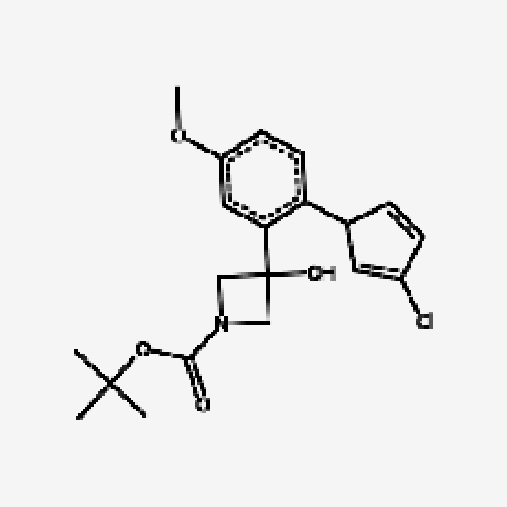 COc1ccc(C2C=CC(Cl)=C2)c(C2(O)CN(C(=O)OC(C)(C)C)C2)c1